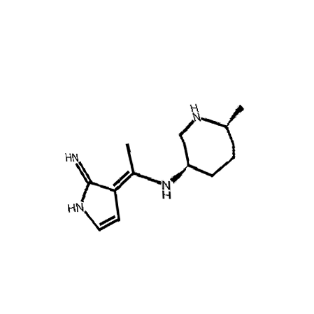 C/C(N[C@@H]1CC[C@H](C)NC1)=C1/C=CNC1=N